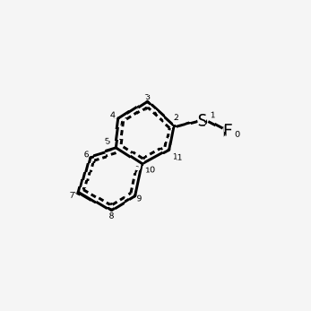 FSc1ccc2ccccc2c1